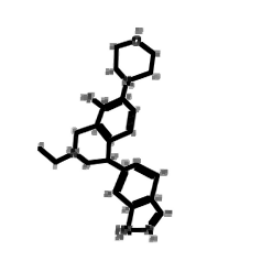 CCN1Cc2c(ccc(N3CCOCC3)c2F)C(c2ccc3cn[nH]c3c2)C1